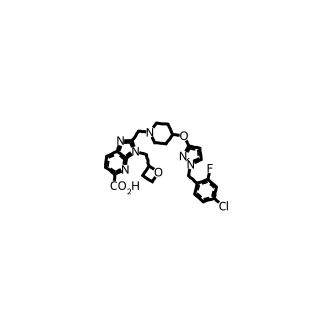 O=C(O)c1ccc2nc(CN3CCC(Oc4ccn(Cc5ccc(Cl)cc5F)n4)CC3)n(CC3CCO3)c2n1